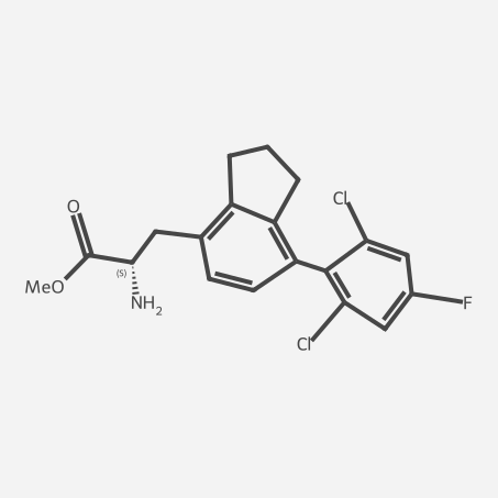 COC(=O)[C@@H](N)Cc1ccc(-c2c(Cl)cc(F)cc2Cl)c2c1CCC2